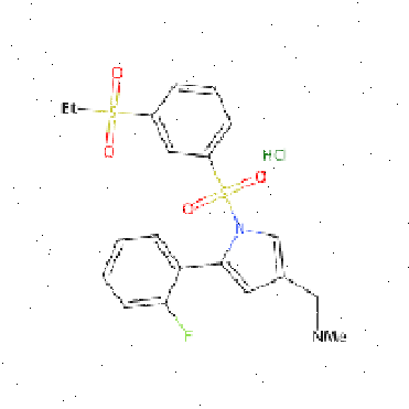 CCS(=O)(=O)c1cccc(S(=O)(=O)n2cc(CNC)cc2-c2ccccc2F)c1.Cl